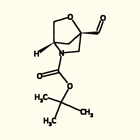 CC(C)(C)OC(=O)N1C[C@@]2(C=O)C[C@@H]1CO2